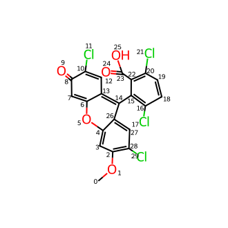 COc1cc2oc3cc(=O)c(Cl)cc-3c(-c3c(Cl)ccc(Cl)c3C(=O)O)c2cc1Cl